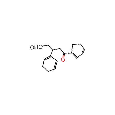 O=CCC(CC(=O)C1=CC=CCC1)C1=CCCC=C1